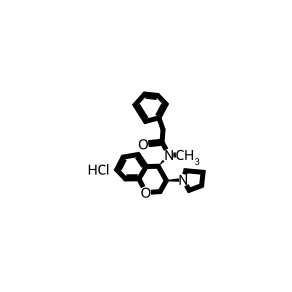 CN(C(=O)Cc1ccccc1)[C@H]1c2ccccc2OC[C@@H]1N1CCCC1.Cl